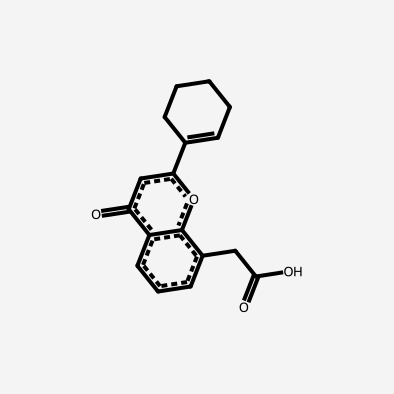 O=C(O)Cc1cccc2c(=O)cc(C3=CCCCC3)oc12